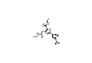 CCOC(=O)Cc1nc(-c2cnn(C3CC3)c2)sc1C(=O)OCC